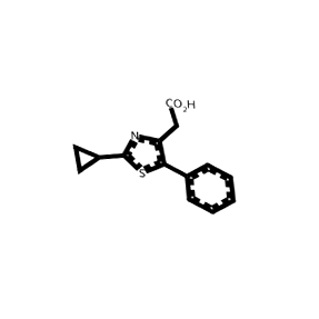 O=C(O)Cc1nc(C2CC2)sc1-c1ccccc1